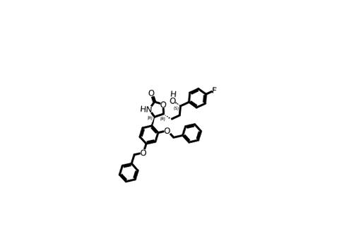 O=C1N[C@H](c2ccc(OCc3ccccc3)cc2OCc2ccccc2)[C@@H](CC[C@H](O)c2ccc(F)cc2)O1